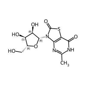 Cc1nc2c(sc(=O)n2[C@@H]2O[C@H](CO)[C@@H](O)[C@H]2O)c(=O)[nH]1